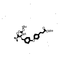 COC(=O)CCc1ccc(Oc2ccc(C[C@H](NC(=O)OC(C)(C)C)C(=O)N(C)C)cc2)cc1